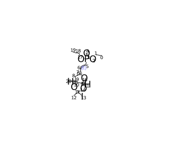 CCOP(=O)(/C=C/[C@@H]1C[C@H]2OC(C)(I)O[C@H]2O1)OCC